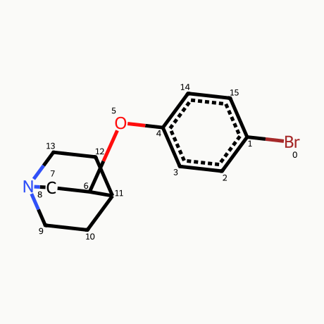 Brc1ccc(OC2CN3CCC2CC3)cc1